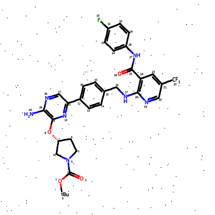 CC(C)(C)OC(=O)N1CC[C@@H](Oc2nc(-c3ccc(CNc4ncc(C(F)(F)F)cc4C(=O)Nc4ccc(F)cc4)cc3)cnc2N)C1